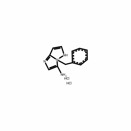 Cl.Cl.NC1=CN=C2C=CN[N+]12Cc1ccccc1